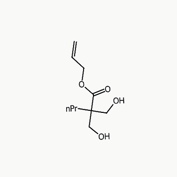 C=CCOC(=O)C(CO)(CO)CCC